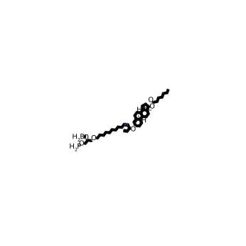 BOC(COP)COCCCCCCCCC/C=C\C(C=C)OC1C=C2CC[C@H]3[C@@H]4CC[C@H](OC(=O)CCCCCC)[C@@]4(C)CC[C@@H]3[C@@]2(C)CC1